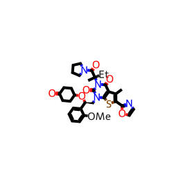 CCC(C)(C(=O)N1CCCC1)n1c(=O)c2c(C)c(-c3ncco3)sc2n(C[C@H](OC2CCC(=O)CC2)c2ccccc2OC)c1=O